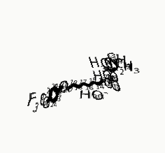 C[N+](C)(C)CC(CC(=O)O)OP(=O)(O)OCCCCCCCCOc1ccc(OC(F)(F)F)cc1.[OH-]